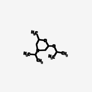 CC(C)OC1CN(C(C)C)CC(C)O1